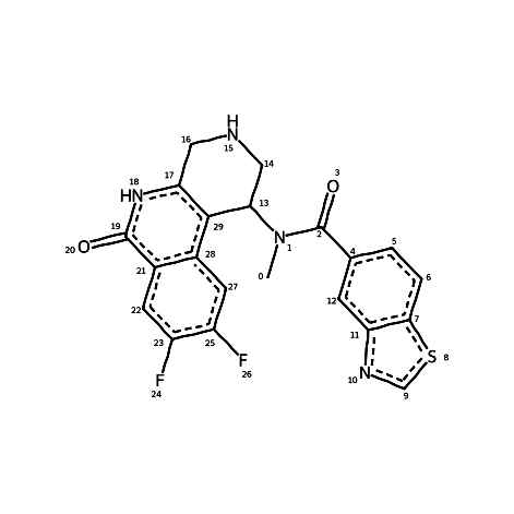 CN(C(=O)c1ccc2scnc2c1)C1CNCc2[nH]c(=O)c3cc(F)c(F)cc3c21